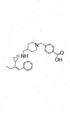 CCC(=Cc1ccccc1)C1C[C@@H]1NCC1CCN(Cc2ccc(C(=O)O)cc2)CC1